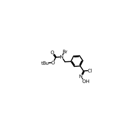 CC(C)(C)OC(=O)N(Br)Cc1cccc(C(Cl)=NO)c1